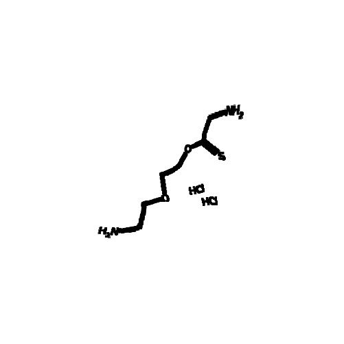 Cl.Cl.NCCOCCOC(=S)CN